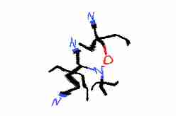 CCC(C#N)(CC)ON(C(C#N)C(C#N)(CC)CC)C(C)(C)C